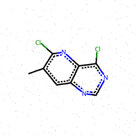 Cc1cc2ncnc(Cl)c2nc1Cl